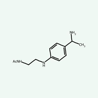 CC(=O)NCCNc1ccc(C(C)N)cc1